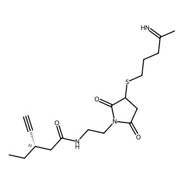 C#C[C@@H](CC)CC(=O)NCCN1C(=O)CC(SCCCC(C)=N)C1=O